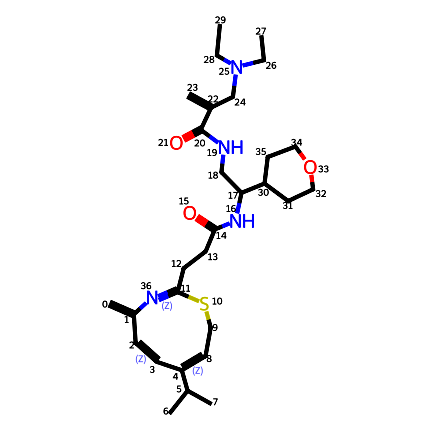 C=C1/C=C\C(C(C)C)=C/CS/C(CCC(=O)NC(CNC(=O)C(=C)CN(CC)CC)C2CCOCC2)=N\1